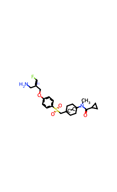 CN(C(=O)C1CC1)C12CCC(CS(=O)(=O)c3ccc(OC/C(=C/F)CN)cc3)(CC1)CC2